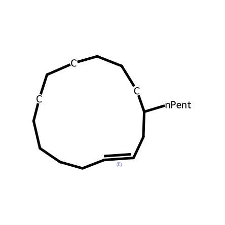 CCCCCC1C/C=C/CCCCCCCCCC1